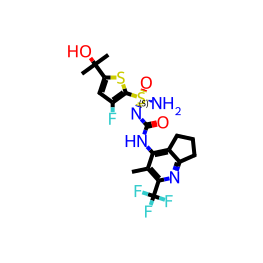 Cc1c(C(F)(F)F)nc2c(c1NC(=O)N=[S@](N)(=O)c1sc(C(C)(C)O)cc1F)CCC2